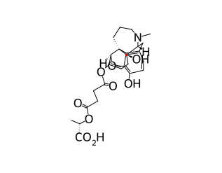 C[C@H](OC(=O)CCC(=O)OC1=CC[C@@]2(O)[C@H]3Cc4ccc(O)c5c4[C@@]2(CCCN3C)[C@H]1O5)C(=O)O